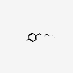 CCc1ccc(COCC#N)cc1